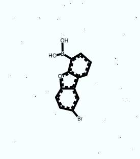 OB(O)c1cccc2c1oc1ccc(Br)cc12